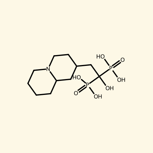 O=P(O)(O)C(O)(CC1CCN2CCCCC2C1)P(=O)(O)O